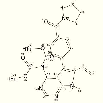 C=Cc1c(-c2ccc(C(=O)N3CCCC3)cc2)c2c(N(C(=O)OC(C)(C)C)C(=O)OC(C)(C)C)ncnc2n1C